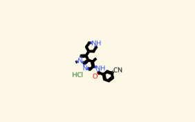 Cc1c(NC(=O)c2cccc(C#N)c2)cnc2c1c(C1CCNCC1)cn2C.Cl